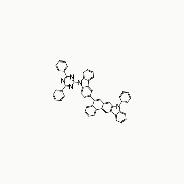 c1ccc(-c2nc(-c3ccccc3)nc(-n3c4ccccc4c4cc(-c5cc6cc7c(cc6c6ccccc56)c5ccccc5n7-c5ccccc5)ccc43)n2)cc1